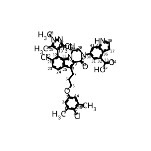 Cc1cc(OCCCc2c3n(c4c(-c5c(C)nn(C)c5C)c(Cl)ccc24)C(C)CN(c2cc(C(=O)O)c4cc[nH]c4c2)C3=O)cc(C)c1Cl